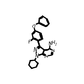 Nc1ncnc2c1c(-c1ccc(Oc3ccccc3)cc1F)nn2C1CCCCC1